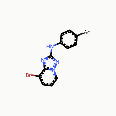 CC(=O)c1ccc(Nc2nc3c(Br)cccn3n2)cc1